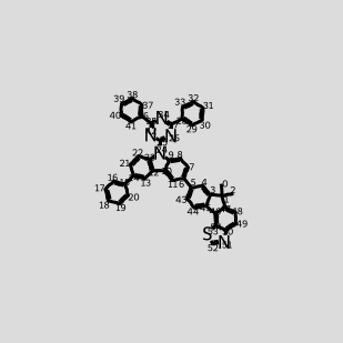 CC1(C)c2cc(-c3ccc4c(c3)c3cc(-c5ccccc5)ccc3n4-c3nc(-c4ccccc4)nc(-c4ccccc4)n3)ccc2-c2c1ccc1ncsc21